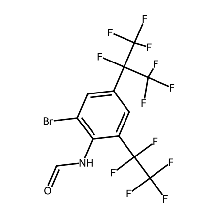 O=CNc1c(Br)cc(C(F)(C(F)(F)F)C(F)(F)F)cc1C(F)(F)C(F)(F)F